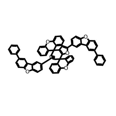 c1ccc(-c2ccc3oc4ccc(-c5cc6c(o5)C5(c7ccccc7Oc7ccccc75)c5cc(-c7ccc8oc9ccc(-c%10ccccc%10)cc9c8c7)oc5C65c6ccccc6Oc6ccccc65)cc4c3c2)cc1